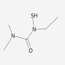 CCN(S)C(=O)N(C)C